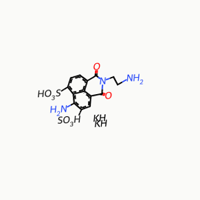 NCCN1C(=O)c2ccc(S(=O)(=O)O)c3c(N)c(S(=O)(=O)O)cc(c23)C1=O.[KH].[KH]